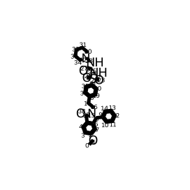 COc1ccc2c(c1)C(c1ccccc1)N(CCc1ccc(S(=O)(=O)NC(=O)NN3CCCCC3)cc1)C2=O